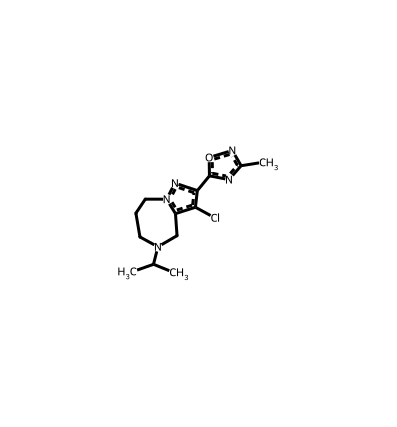 Cc1noc(-c2nn3c(c2Cl)CN(C(C)C)CCC3)n1